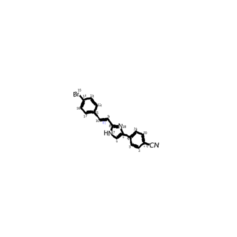 N#Cc1ccc(-c2c[nH]c(/C=C/c3ccc(Br)cc3)n2)cc1